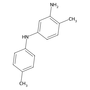 Cc1ccc(Nc2ccc(C)c(N)c2)cc1